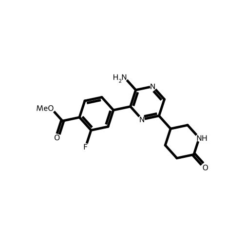 COC(=O)c1ccc(-c2nc(C3CCC(=O)NC3)cnc2N)cc1F